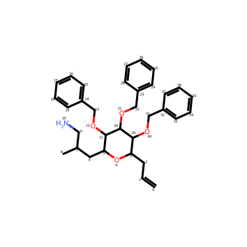 C=CCC1OC(CC(C)CN)C(OCc2ccccc2)C(OCc2ccccc2)C1OCc1ccccc1